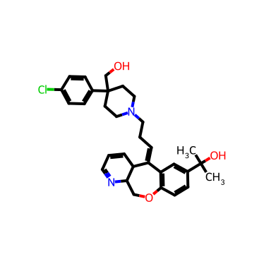 CC(C)(O)c1ccc2c(c1)/C(=C/CCN1CCC(CO)(c3ccc(Cl)cc3)CC1)C1C=CC=NC1CO2